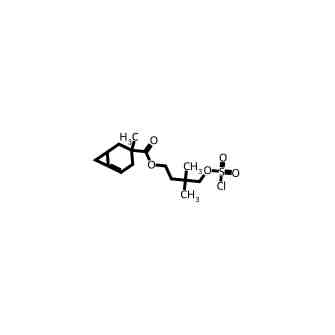 CC(C)(CCOC(=O)C1(C)CC=C2CC2C1)COS(=O)(=O)Cl